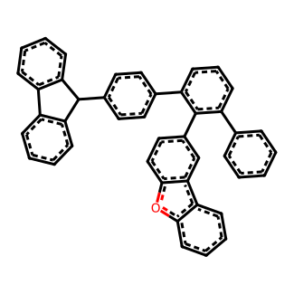 c1ccc(-c2cccc(-c3ccc(C4c5ccccc5-c5ccccc54)cc3)c2-c2ccc3oc4ccccc4c3c2)cc1